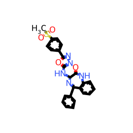 CS(=O)(=O)c1ccc(-c2nnc(NC3N=C(c4ccccc4)c4ccccc4NC3=O)o2)cc1